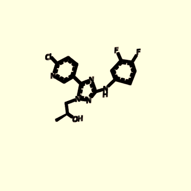 C[C@H](O)Cn1nc(Nc2ccc(F)c(F)c2)nc1-c1ccc(Cl)nc1